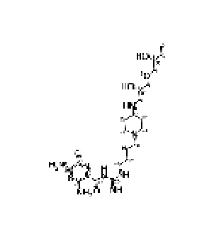 CC[C@@H](O)COC[C@@H](O)CNC1CCN(CCCCNC(=N)NC(=O)c2nc(Cl)c(N)nc2N)CC1